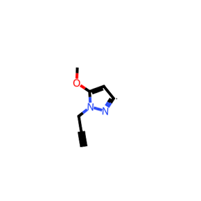 C#CCn1n[c]cc1OC